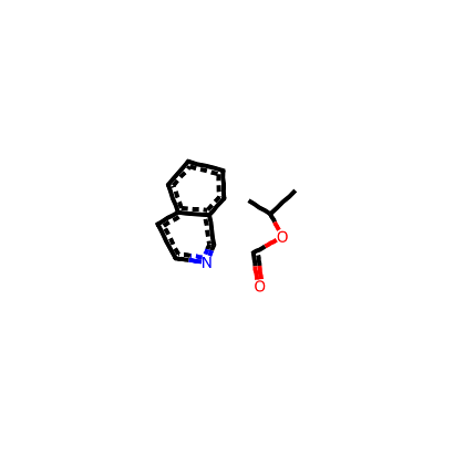 CC(C)OC=O.c1ccc2cnccc2c1